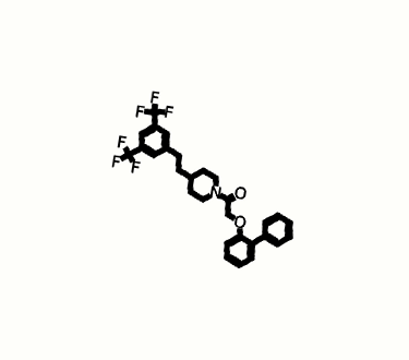 O=C(COc1ccccc1-c1ccccc1)N1CCC(CCc2cc(C(F)(F)F)cc(C(F)(F)F)c2)CC1